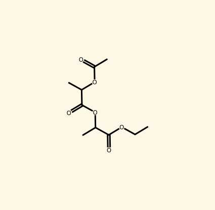 CCOC(=O)C(C)OC(=O)C(C)OC(C)=O